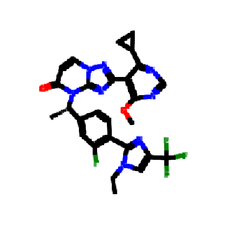 CCn1cc(C(F)(F)F)nc1-c1ccc([C@H](C)n2c(=O)ccn3nc(-c4c(OC)ncnc4C4CC4)nc23)cc1F